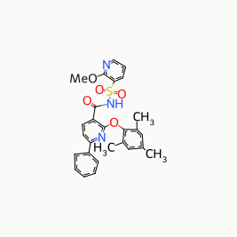 COc1ncccc1S(=O)(=O)NC(=O)c1ccc(-c2ccccc2)nc1Oc1c(C)cc(C)cc1C